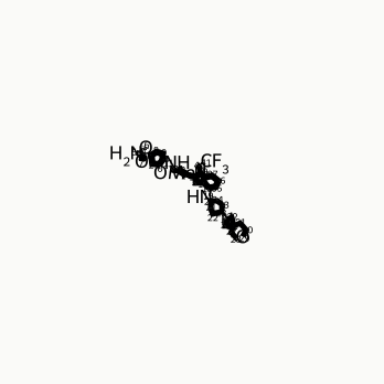 COc1cc(S(N)(=O)=O)ccc1NCC#Cc1cc2c(N[C@H]3CC[C@H](N4CC5(CCOCC5)C4)CC3)cccc2n1CC(F)(F)F